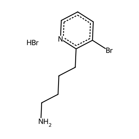 Br.NCCCCc1ncccc1Br